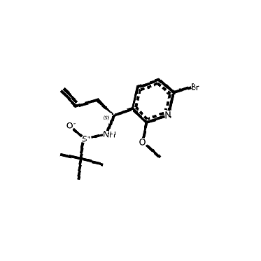 C=CC[C@H](N[S+]([O-])C(C)(C)C)c1ccc(Br)nc1OC